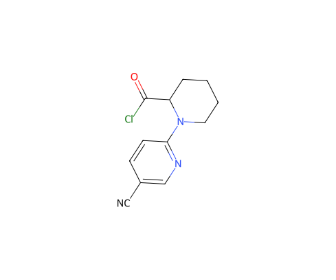 N#Cc1ccc(N2CCCCC2C(=O)Cl)nc1